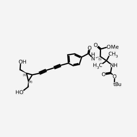 COC(=O)[C@@H](NC(=O)c1ccc(C#CC#CC2[C@@H](CO)[C@H]2CO)cc1)C(C)(C)NC(=O)OC(C)(C)C